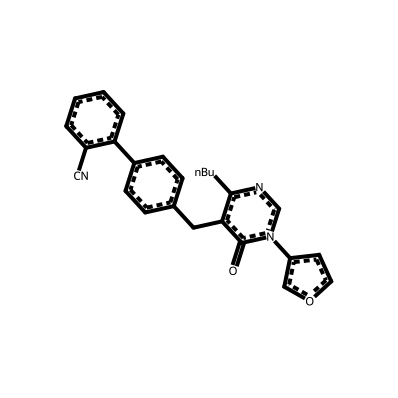 CCCCc1ncn(-c2ccoc2)c(=O)c1Cc1ccc(-c2ccccc2C#N)cc1